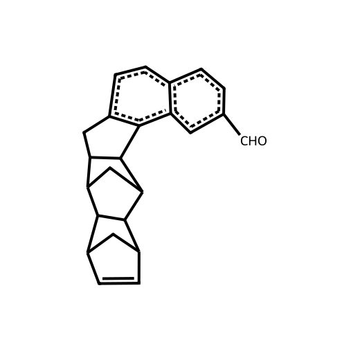 O=Cc1ccc2ccc3c(c2c1)C1C(C3)C2CC1C1C3C=CC(C3)C21